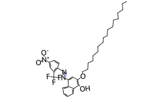 CCCCCCCCCCCCCCCCCCOc1cc(/N=N/c2ccc([N+](=O)[O-])cc2C(F)(F)F)c2ccccc2c1O